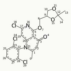 Cc1cc(=O)c2c(OCC3COC(C)(C)O3)nc(Cl)cc2n1-c1c(Cl)cccc1Cl